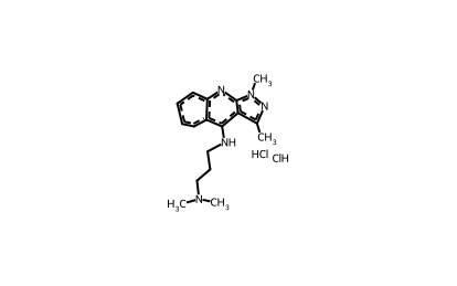 Cc1nn(C)c2nc3ccccc3c(NCCCN(C)C)c12.Cl.Cl